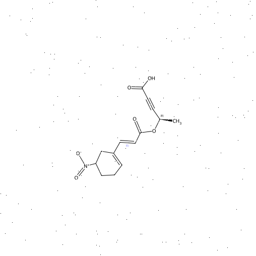 C[C@H](C#CC(=O)O)OC(=O)/C=C/C1=CCCC([N+](=O)[O-])C1